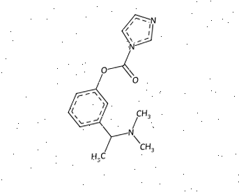 CC(c1cccc(OC(=O)n2ccnc2)c1)N(C)C